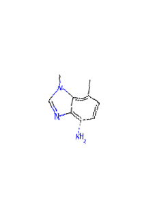 Cc1ccc(N)c2ncn(C)c12